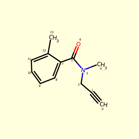 C#CCN(C)C(=O)c1ccccc1C